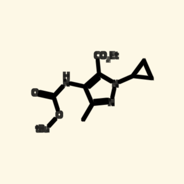 CCOC(=O)c1c(NC(=O)OC(C)(C)C)c(C)nn1C1CC1